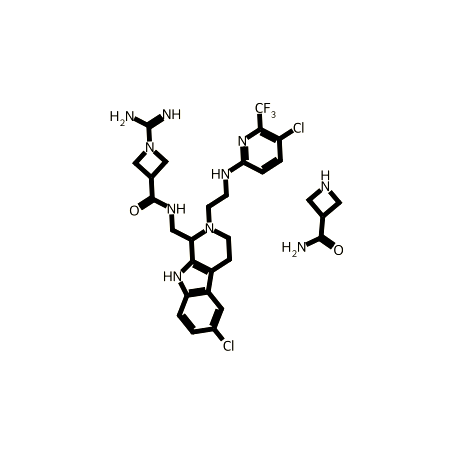 N=C(N)N1CC(C(=O)NCC2c3[nH]c4ccc(Cl)cc4c3CCN2CCNc2ccc(Cl)c(C(F)(F)F)n2)C1.NC(=O)C1CNC1